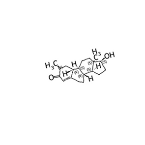 C[C@H]1C[C@H]2C(=CC1=O)CC[C@@H]1[C@@H]2CC[C@]2(C)[C@@H](O)CC[C@@H]12